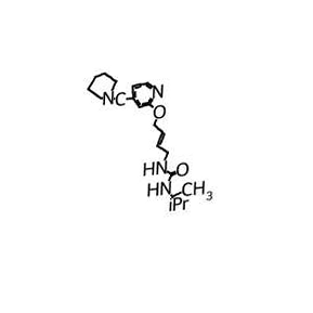 CC(C)C(C)NC(=O)NCC=CCOc1cc(CN2CCCCC2)ccn1